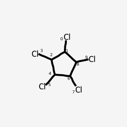 ClC1C(Cl)C(Cl)C(Cl)C1Cl